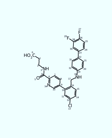 O=C(O)CCNC(=O)c1ccc(-c2cc(Cl)ccc2CNc2ccc(-c3ccc(F)c(F)c3)cc2)cn1